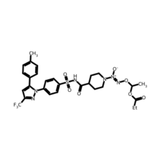 CCC(=O)OC(C)ON=[N+]([O-])N1CCC(C(=O)NS(=O)(=O)c2ccc(-n3nc(C(F)(F)F)cc3-c3ccc(C)cc3)cc2)CC1